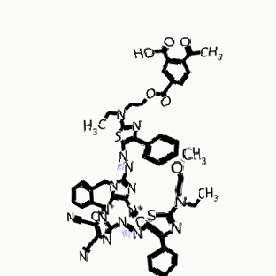 [C-]#[N+]c1nc(/N=N/c2sc(N(CC)CCOC(=O)c3ccc(C(C)=O)c(C(=O)O)c3)nc2-c2ccccc2)n(Cc2ccccc2Cn2c(/N=N/c3sc(N(CC)CCOC)nc3-c3ccccc3)nc(C#N)c2C#N)c1[N+]#[C-]